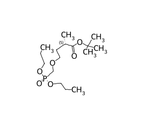 CCCOP(=O)(COCC[C@H](C)C(=O)OC(C)(C)C)OCCC